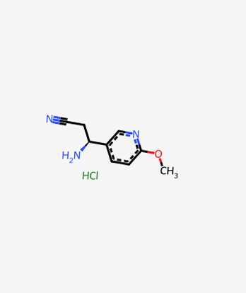 COc1ccc([C@@H](N)CC#N)cn1.Cl